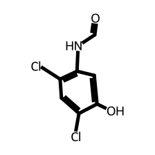 O=CNc1cc(O)c(Cl)cc1Cl